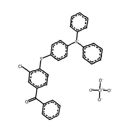 O=C(c1ccccc1)c1ccc(Sc2ccc([S+](c3ccccc3)c3ccccc3)cc2)c(Cl)c1.[O-][Cl+3]([O-])([O-])[O-]